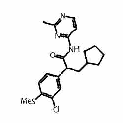 CSc1ccc(C(CC2CCCC2)C(=O)Nc2ccnc(C)n2)cc1Cl